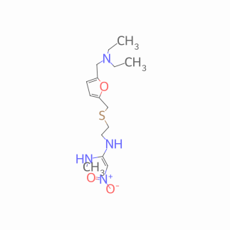 CCN(CC)Cc1ccc(CSCCN/C(=C/[N+](=O)[O-])NC)o1